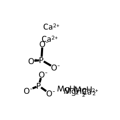 [Ca+2].[Ca+2].[Ca+2].[MgH2].[MgH2].[MgH2].[O-]P([O-])[O-].[O-]P([O-])[O-]